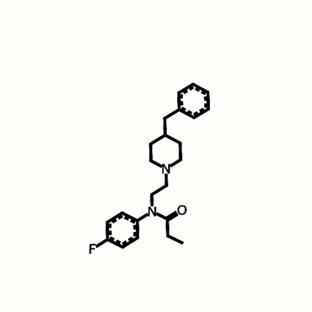 CCC(=O)N(CCN1CCC(Cc2ccccc2)CC1)c1ccc(F)cc1